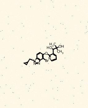 CC(C)(O)C(O)c1cccnc1Oc1ccc2c(nnn2CC2CC2)c1Br